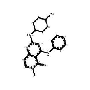 Cn1ccc2nc(NC3CCC(O)CC3)nc(Nc3ccccc3)c2c1=O